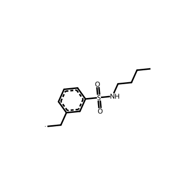 [CH2]Cc1cccc(S(=O)(=O)NCCCC)c1